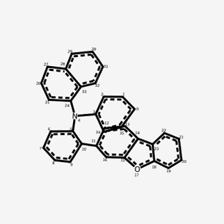 c1ccc(N(c2ccccc2-c2ccc3c(c2)oc2ccccc23)c2cccc3ccccc23)cc1